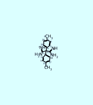 Cc1ccc(C(C(=N)N)(C(=N)N)c2ccc(C)cc2)cc1